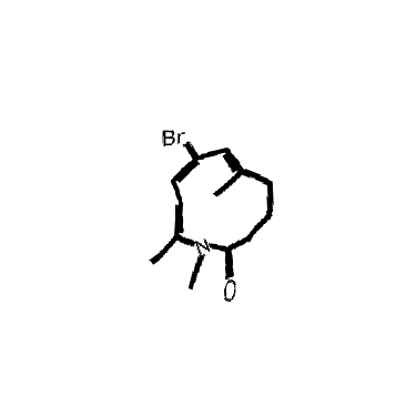 C\C1=C/C(Br)=C\C=C(/C)N(C)C(=O)CCC1